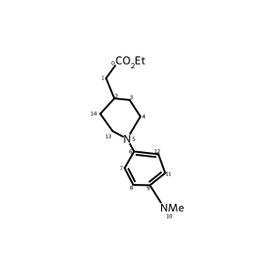 CCOC(=O)CC1CCN(c2ccc(NC)cc2)CC1